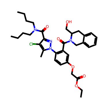 CCCCN(CCCC)C(=O)c1nn(-c2ccc(OCC(=O)OCC)cc2C(=O)N2Cc3ccccc3CC2CO)c(C)c1Cl